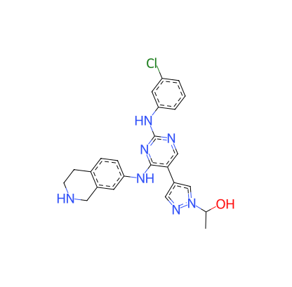 CC(O)n1cc(-c2cnc(Nc3cccc(Cl)c3)nc2Nc2ccc3c(c2)CNCC3)cn1